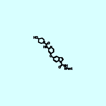 CCCCCNC(=O)n1ccc2cc(Oc3ccnc(NC(=O)N4CCC(O)CC4)c3)ccc21